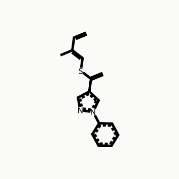 C=C/C(C)=C/SC(=C)c1cnn(-c2ccccc2)c1